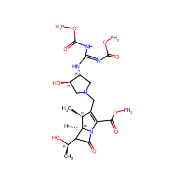 C[C@@H](O)C1C(=O)N2C(C(=O)OP)=C(CN3C[C@@H](O)[C@H](NC(=NC(=O)OP)NC(=O)OP)C3)[C@H](C)[C@H]12